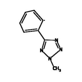 Cn1nnc(-c2[c]cccc2)n1